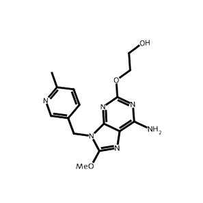 COc1nc2c(N)nc(OCCO)nc2n1Cc1ccc(C)nc1